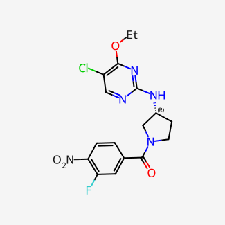 CCOc1nc(N[C@@H]2CCN(C(=O)c3ccc([N+](=O)[O-])c(F)c3)C2)ncc1Cl